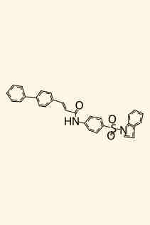 O=C(C=Cc1ccc(-c2ccccc2)cc1)Nc1ccc(S(=O)(=O)n2ccc3ccccc32)cc1